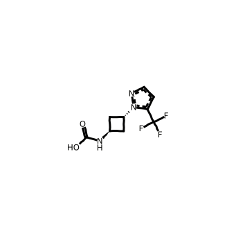 O=C(O)N[C@H]1C[C@H](n2nccc2C(F)(F)F)C1